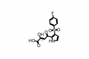 O=C(O)/C(O)=C/C(=O)c1[nH]ccc1S(=O)(=O)c1ccc(F)cc1